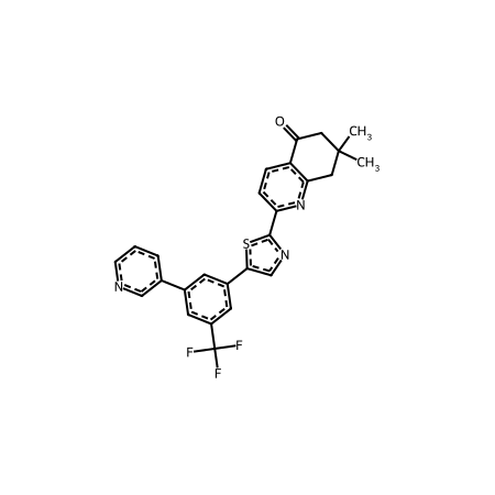 CC1(C)CC(=O)c2ccc(-c3ncc(-c4cc(-c5cccnc5)cc(C(F)(F)F)c4)s3)nc2C1